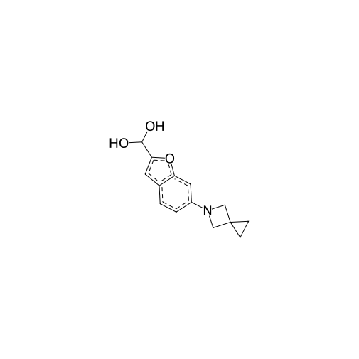 OC(O)c1cc2ccc(N3CC4(CC4)C3)cc2o1